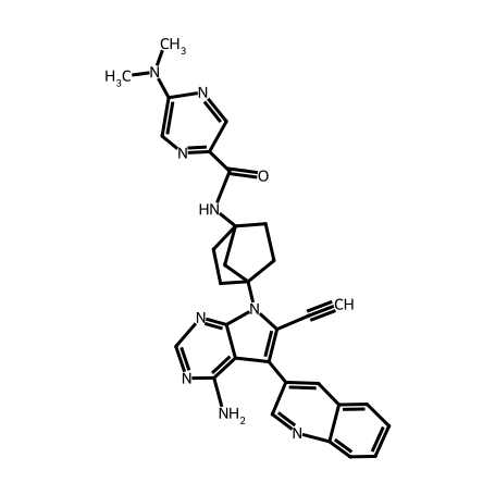 C#Cc1c(-c2cnc3ccccc3c2)c2c(N)ncnc2n1C12CCC(NC(=O)c3cnc(N(C)C)cn3)(CC1)C2